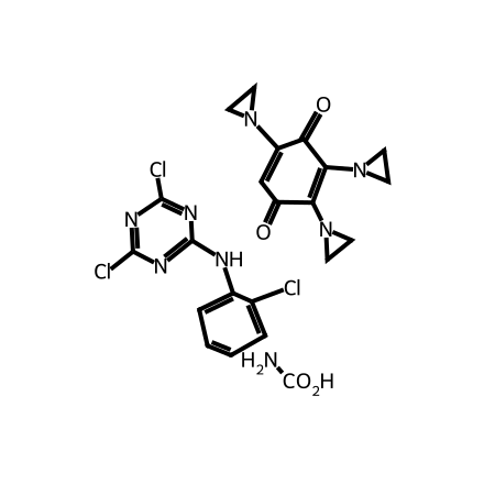 Clc1nc(Cl)nc(Nc2ccccc2Cl)n1.NC(=O)O.O=C1C=C(N2CC2)C(=O)C(N2CC2)=C1N1CC1